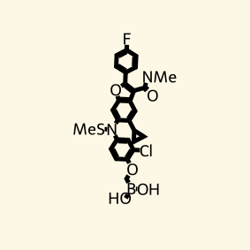 CNC(=O)c1c(-c2ccc(F)cc2)oc2cc(N(SC)c3ccc(OCB(O)O)c(Cl)c3)c(C3CC3)cc12